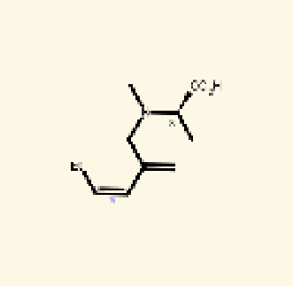 C=C(/C=C\CC)CN(C)[C@H](C)C(=O)O